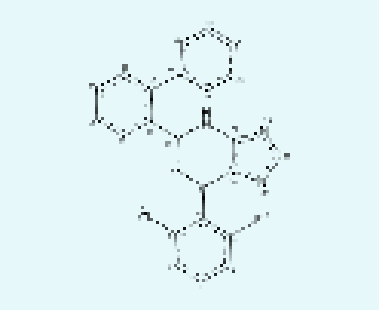 Fc1cccc(Cl)c1C1CC(c2ccccc2-c2ccccc2)Nc2ncnn21